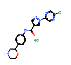 Cl.O=C(Nc1ccc(C2CNCCO2)cc1)c1cnn(-c2cnc(Cl)cn2)c1